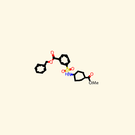 COC(=O)C1CCC(NS(=O)(=O)c2cccc(C(=O)OCc3ccccc3)c2)CC1